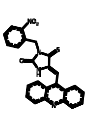 O=C1NC(=Cc2c3ccccc3nc3ccccc23)C(=S)N1Cc1ccccc1[N+](=O)[O-]